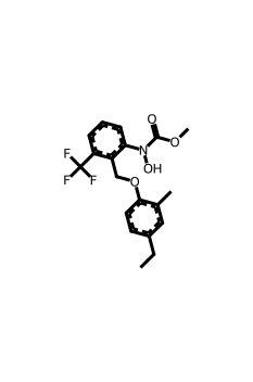 CCc1ccc(OCc2c(N(O)C(=O)OC)cccc2C(F)(F)F)c(C)c1